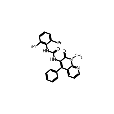 CC(C)c1cccc(C(C)C)c1NC(=O)Nc1c(-c2ccccc2)c2cccnc2n(C)c1=O